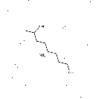 CC(O)CCCCCCO.N